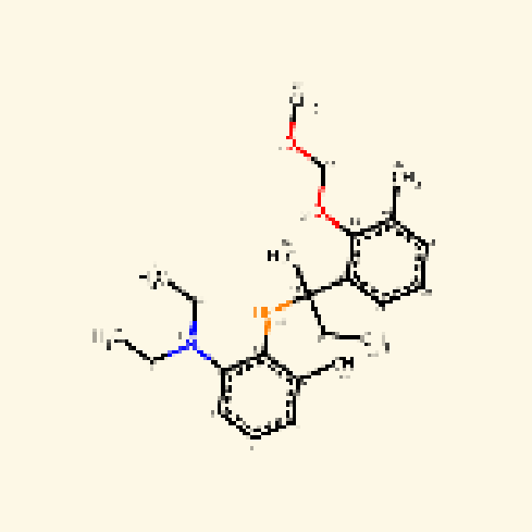 CCN(CC)c1cccc(C)c1PC(C)(CC)c1cccc(C)c1OCOC